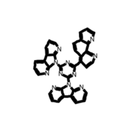 c1cnc2c(c1)ccc1c(-c3nc(-n4c5ncccc5c5cccnc54)nc(-n4c5ncccc5c5cccnc54)n3)ccnc12